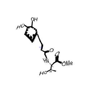 COC(=O)[C@@H](NC(=O)/C=C/c1ccc(O)c(O)c1)[C@@H](C)O